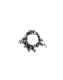 NCCC[C@@H]1NC(=O)CCSCc2cccc(c2)CSC[C@@H](C(N)=O)NC(=O)[C@@H]2CCCC2C(=O)[C@H](Cc2ccc(OCC3CCCCC3)cc2)NC(=O)[C@H](Cc2cnc[nH]2)NC(=O)[C@H](CC(=O)O)NC(=O)[C@H](Cc2c[nH]c3ccc(F)cc23)NC(=O)[C@H](Cc2c[nH]c3ccc(F)cc23)NC(=O)CNC1=O